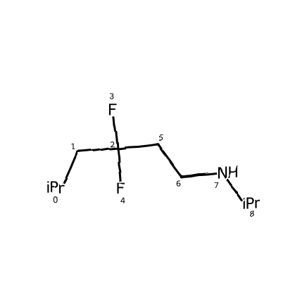 CC(C)CC(F)(F)CCNC(C)C